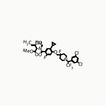 C/C=C(\C)[C@@H](C(=O)OC)N(CO)C(=O)c1cc(C2CC2)c(OCC2(F)CCN(C(c3cc(Cl)cc(Cl)c3)C(F)(F)F)CC2)cc1F